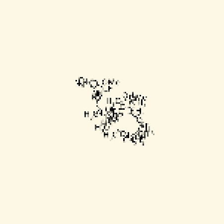 CC[C@H]1OC(=O)[C@H](C)[C@@H](C2C[C@@](C)(OC)[C@@H](O)[C@H](C)O2)[C@H](C)[C@@H](O[C@@H]2O[C@H](C)C[C@H](N(C)CCc3cn([C@H](CF)[C@H](OC)c4ccc(-n5ccnn5)cc4)nn3)[C@H]2O)[C@](C)(O)C[C@@H](C)CN(C)[C@H](C)[C@@H](O)[C@]1(C)O